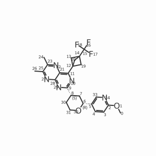 COc1ccc([C@H]2C[C@@H](c3nc(C45CC(C(F)(F)F)(C4)C5)c4nc(C)c(C)nc4n3)CCO2)cn1